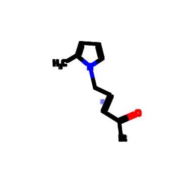 CCC(=O)/C=C/Cn1cccc1C